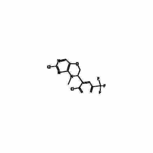 C=C(Cl)/C(=C\C(=C)C(F)(F)F)C1COc2cnc(Cl)nc2N1C